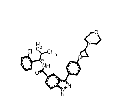 CC(C)[C@@H](NC(=O)c1ccc2[nH]nc(-c3ccc(N4CC(N5CCOCC5)C4)cc3)c2c1)c1ccccc1Cl